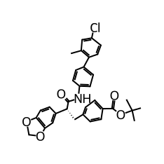 Cc1cc(Cl)ccc1-c1ccc(NC(=O)[C@H](Cc2ccc(C(=O)OC(C)(C)C)cc2)c2ccc3c(c2)OCO3)cc1